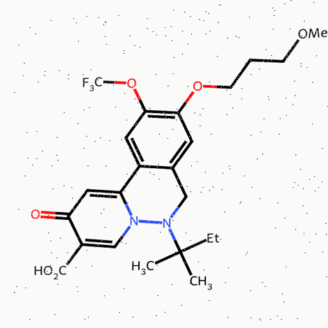 CCC(C)(C)N1Cc2cc(OCCCOC)c(OC(F)(F)F)cc2-c2cc(=O)c(C(=O)O)cn21